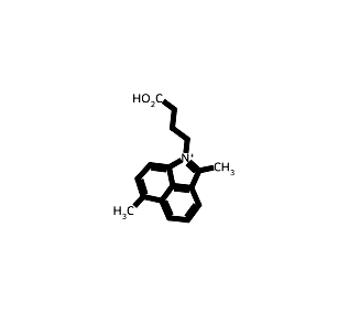 CC1=[N+](CCCC(=O)O)c2ccc(C)c3cccc1c23